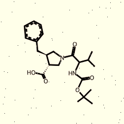 CC(C)C(NC(=O)OC(C)(C)C)C(=O)N1C[C@H](Cc2ccccc2)[C@@H](C(=O)O)C1